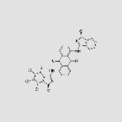 O=C1N=C(Nc2cccc3c2C(=O)c2cccc(NC4=NC(=O)c5c(Cl)c(Cl)c(Cl)c(Cl)c54)c2C3=O)c2ccccc21